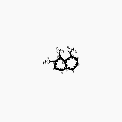 Cc1cccc2ccc(O)c(O)c12